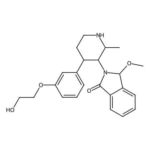 COC1c2ccccc2C(=O)N1C1C(C)NCCC1c1cccc(OCCO)c1